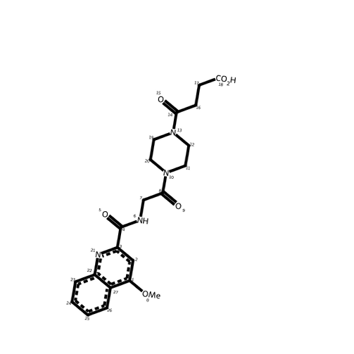 COc1cc(C(=O)NCC(=O)N2CCN(C(=O)CCC(=O)O)CC2)nc2ccccc12